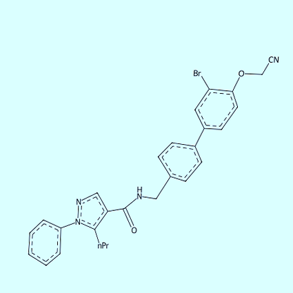 CCCc1c(C(=O)NCc2ccc(-c3ccc(OCC#N)c(Br)c3)cc2)cnn1-c1ccccc1